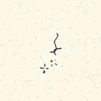 CCC/C(C)=C(\O)OP(=O)(O)OP(=O)(O)O